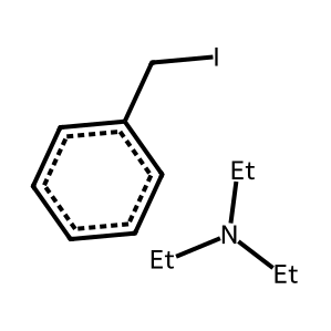 CCN(CC)CC.ICc1ccccc1